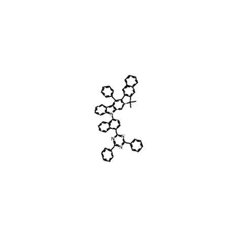 CC1(C)c2cc3ccccc3cc2-c2c1cc1c(c2-c2ccccc2)c2ccccc2n1-c1ccc(-c2nc(-c3ccccc3)nc(-c3ccccc3)n2)c2ccccc12